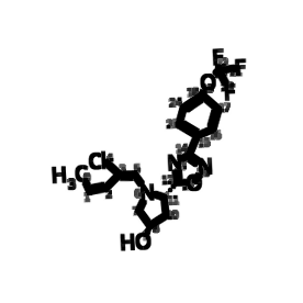 C/C=C\C(Cl)=C/N1C[C@H](O)C[C@H]1c1nc(-c2ccc(OC(F)(F)F)cc2)no1